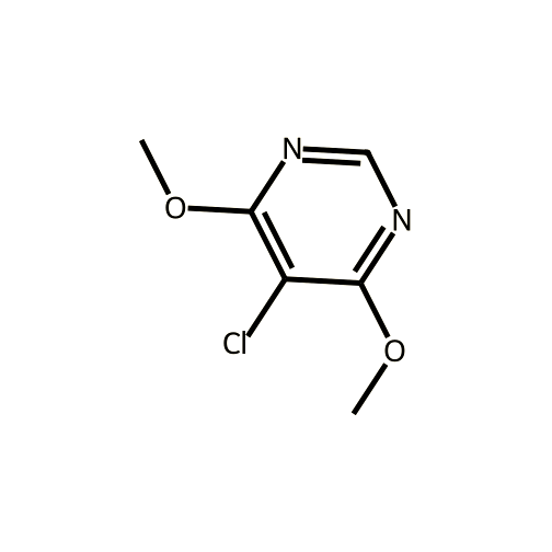 COc1ncnc(OC)c1Cl